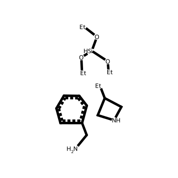 CCC1CNC1.CCO[SiH](OCC)OCC.NCc1ccccc1